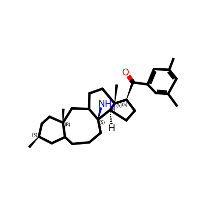 Cc1cc(C)cc(C(=O)[C@H]2CC[C@@H]3[C@]2(C)CCC2C[C@@]4(C)CC[C@H](C)CC4CCC[C@]23N)c1